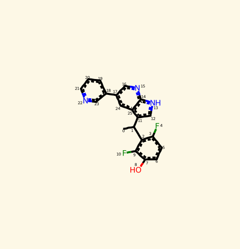 CC(c1c(F)ccc(O)c1F)c1c[nH]c2ncc(-c3cccnc3)cc12